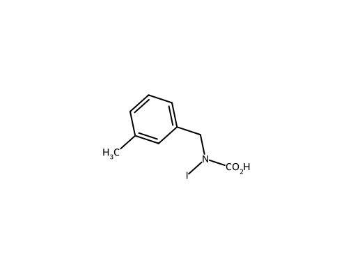 Cc1cccc(CN(I)C(=O)O)c1